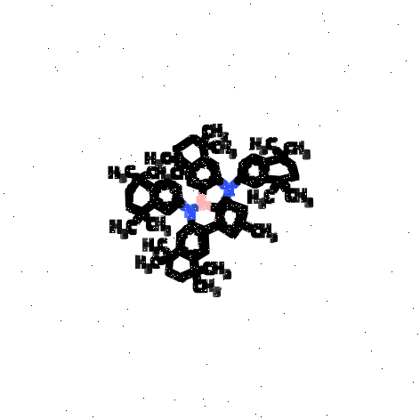 Cc1cc2c3c(c1)N(c1ccc4c(c1)C(C)(C)CCC4(C)C)c1cc4c(cc1B3N(c1ccc3c(c1)C(C)(C)CCC3(C)C)c1cc3c(cc1-2)C(C)(C)CCC3(C)C)C(C)(C)CCC4(C)C